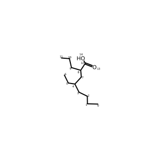 CCCCC(CC)CC(CCC)C(=O)O